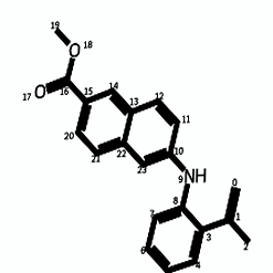 C=C(C)c1ccccc1Nc1ccc2cc(C(=O)OC)ccc2c1